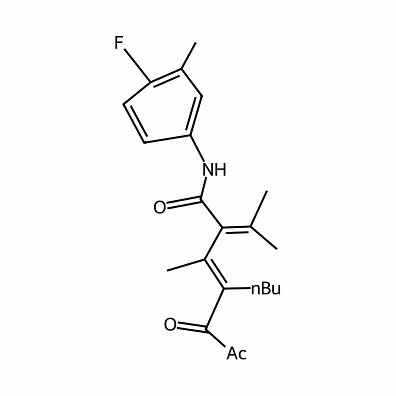 CCCC/C(C(=O)C(C)=O)=C(/C)C(C(=O)Nc1ccc(F)c(C)c1)=C(C)C